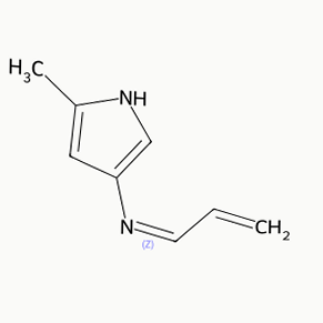 C=C/C=N\c1c[nH]c(C)c1